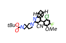 COc1cc(-c2c(C#N)c(N3CCC4(CN(C(=O)OC(C)(C)C)C4)C3)nc3c2C[C@H]2C[C@@H]3C2(C)C)c(Cl)cc1F